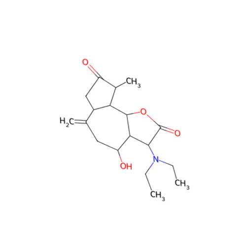 C=C1CC(O)C2C(OC(=O)C2N(CC)CC)C2C(C)C(=O)CC12